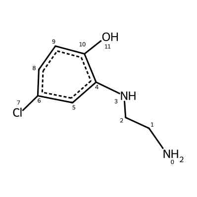 NCCNc1cc(Cl)ccc1O